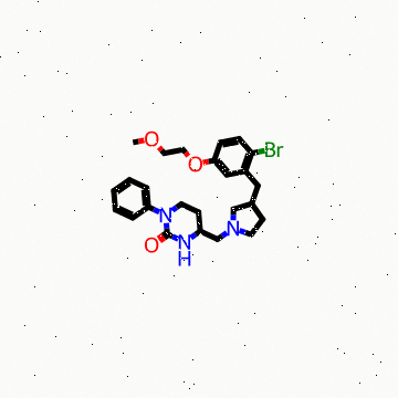 COCCOc1ccc(Br)c(CC2CCN(CC3CCN(c4ccccc4)C(=O)N3)C2)c1